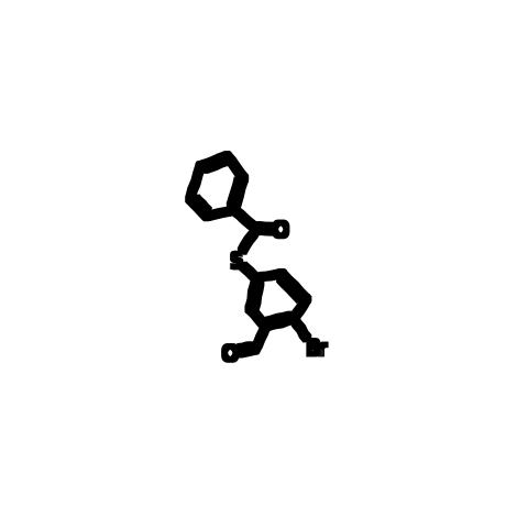 O=Cc1cc(SC(=O)c2ccccc2)ccc1Br